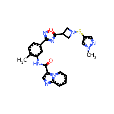 Cc1ccc(-c2noc(C3CN(Sc4cnn(C)c4)C3)n2)cc1NC(=O)c1cnc2ccccn12